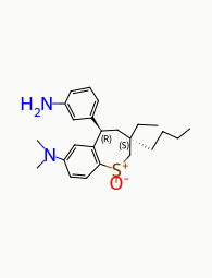 CCCC[C@@]1(CC)C[C@H](c2cccc(N)c2)c2cc(N(C)C)ccc2[S+]([O-])C1